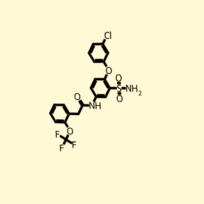 NS(=O)(=O)c1cc(NC(=O)Cc2ccccc2OC(F)(F)F)ccc1Oc1cccc(Cl)c1